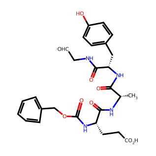 C[C@H](NC(=O)[C@H](CCC(=O)O)NC(=O)OCc1ccccc1)C(=O)N[C@@H](Cc1ccc(O)cc1)C(=O)NC[C]=O